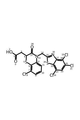 O=C(O)CC1Sc2c(Cl)cccc2N(Cc2nc3c(Cl)c(Cl)cc(Cl)c3s2)C1=O